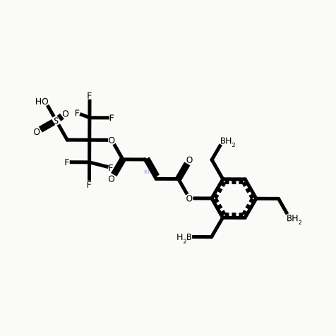 BCc1cc(CB)c(OC(=O)/C=C/C(=O)OC(CS(=O)(=O)O)(C(F)(F)F)C(F)(F)F)c(CB)c1